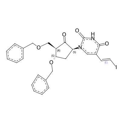 O=C1[C@H](COCc2ccccc2)[C@@H](OCc2ccccc2)C[C@@H]1n1cc(/C=C/I)c(=O)[nH]c1=O